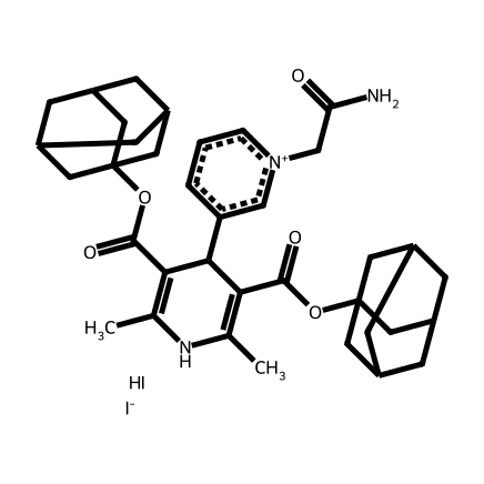 CC1=C(C(=O)OC23CC4CC(CC(C4)C2)C3)C(c2ccc[n+](CC(N)=O)c2)C(C(=O)OC23CC4CC(CC(C4)C2)C3)=C(C)N1.I.[I-]